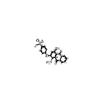 Nc1c(Oc2ccc(S(=O)(=O)F)cc2)cc(O)c2c1C(=O)c1ccccc1C2=O